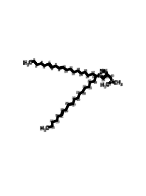 CCCCCC=CCC=CCCCCCCCCC(CCCCCCCCC=CCC=CCCCCC)n1cc(CN(C)C)nn1